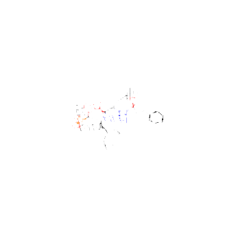 CCP(=O)(OC)C(O)C(CC1CCCCC1)NC(=O)[C@H](CC(C)C)NC(=O)CCc1ccccc1